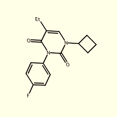 CCc1cn(C2CCC2)c(=O)n(-c2ccc(F)cc2)c1=O